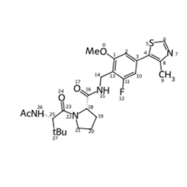 COc1cc(-c2scnc2C)cc(F)c1CNC(=O)[C@@H]1CCCN1C(=O)[C@@H](NC(C)=O)C(C)(C)C